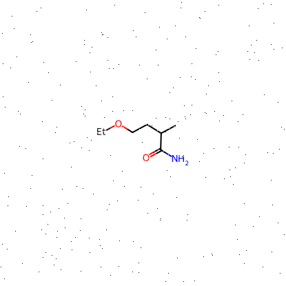 CCOCCC(C)C(N)=O